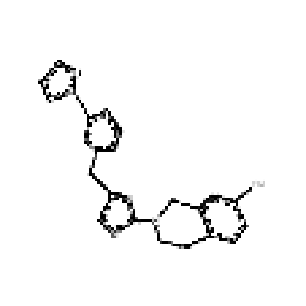 N#Cc1ccc2c(c1)CN(c1ncc(Cc3cccc(-n4cccn4)c3)s1)CC2